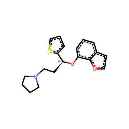 c1csc([C@H](CCN2CCCC2)Oc2cccc3ccoc23)c1